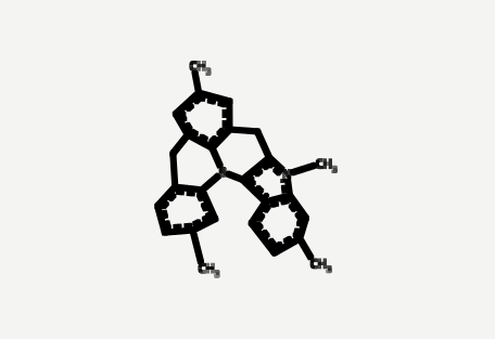 Cc1cc2c3c(c1)Cc1c(c4ccc(C)cc4n1C)B3c1cc(C)ccc1C2